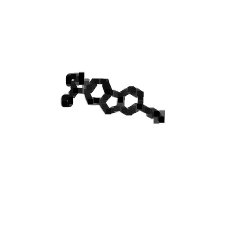 CC(=O)c1ccc2c(c1)Cc1cc(C#N)ccc1-2